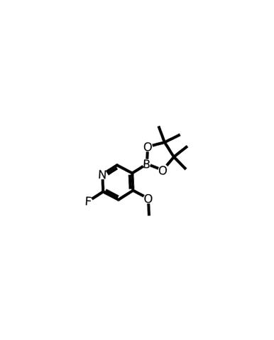 COc1cc(F)ncc1B1OC(C)(C)C(C)(C)O1